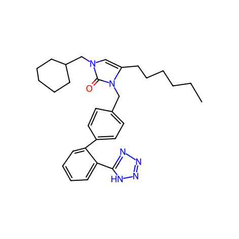 CCCCCCc1cn(CC2CCCCC2)c(=O)n1Cc1ccc(-c2ccccc2-c2nnn[nH]2)cc1